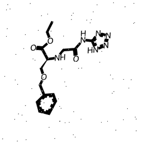 CCOC(=O)[C@H](COCc1ccccc1)NCC(=O)Nc1nnn[nH]1